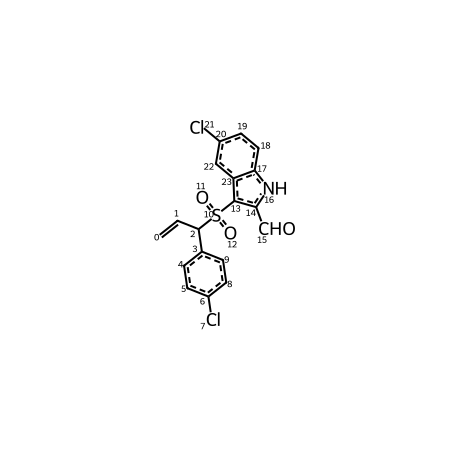 C=CC(c1ccc(Cl)cc1)S(=O)(=O)c1c(C=O)[nH]c2ccc(Cl)cc12